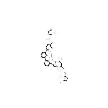 COc1nc(-c2cccc(-c3cccc(-c4cc5nc(CNC[C@H]6CCC(=O)N6)cc(=O)n5n4C)c3Cl)c2Cl)ccc1CNC[C@@H]1CCC(=O)N1